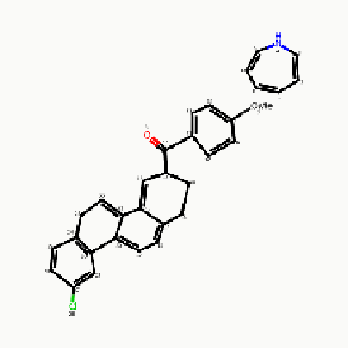 C1=CC=CNC=C1.COc1ccc(C(=O)C2C=c3c(ccc4c3=CCc3ccc(Cl)cc3-4)CC2)cc1